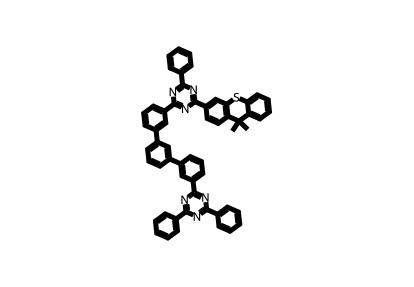 CC1(C)c2ccccc2Sc2cc(-c3nc(-c4ccccc4)nc(-c4cccc(-c5cccc(-c6cccc(-c7nc(-c8ccccc8)nc(-c8ccccc8)n7)c6)c5)c4)n3)ccc21